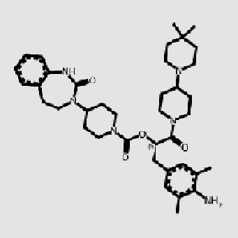 Cc1cc(C[C@@H](OC(=O)N2CCC(N3CCc4ccccc4NC3=O)CC2)C(=O)N2CCC(N3CCC(C)(C)CC3)CC2)cc(C)c1N